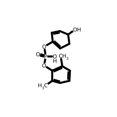 Cc1cccc(C)c1OP(=O)(O)OC1=CCC(O)C=C1